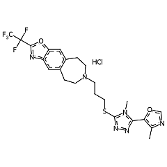 Cc1ncoc1-c1nnc(SCCCN2CCc3cc4nc(C(F)(F)C(F)(F)F)oc4cc3CC2)n1C.Cl